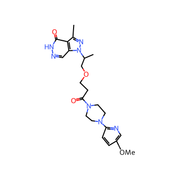 COc1ccc(N2CCN(C(=O)CCOCC(C)n3nc(C)c4c(=O)[nH]ncc43)CC2)nc1